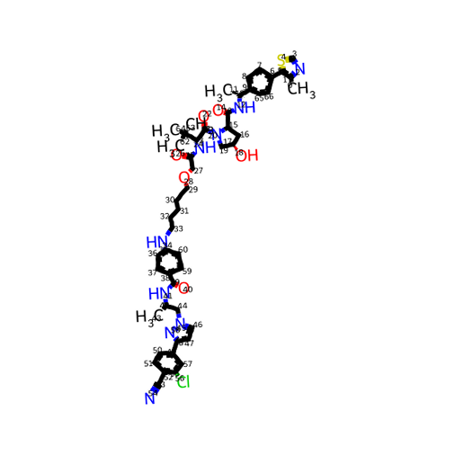 Cc1ncsc1-c1ccc([C@H](C)NC(=O)C2C[C@@H](O)CN2C(=O)[C@@H](NC(=O)COCCCCCNc2ccc(C(=O)NC(C)Cn3ccc(-c4ccc(C#N)c(Cl)c4)n3)cc2)C(C)(C)C)cc1